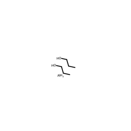 CCCO.CCCO.[AlH3]